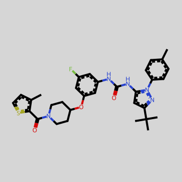 Cc1ccc(-n2nc(C(C)(C)C)cc2NC(=O)Nc2cc(F)cc(OC3CCN(C(=O)c4sccc4C)CC3)c2)cc1